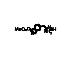 COCOn1ncc2cc(C/C(N)=N/O)ccc21